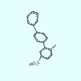 Cc1ccc(C(=O)O)cc1-c1ccc(-c2ccccc2)cc1